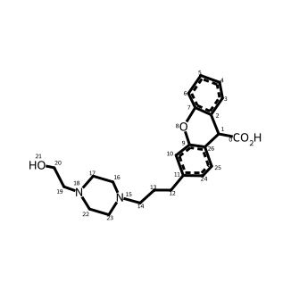 O=C(O)C1c2ccccc2Oc2cc(CCCN3CCN(CCO)CC3)ccc21